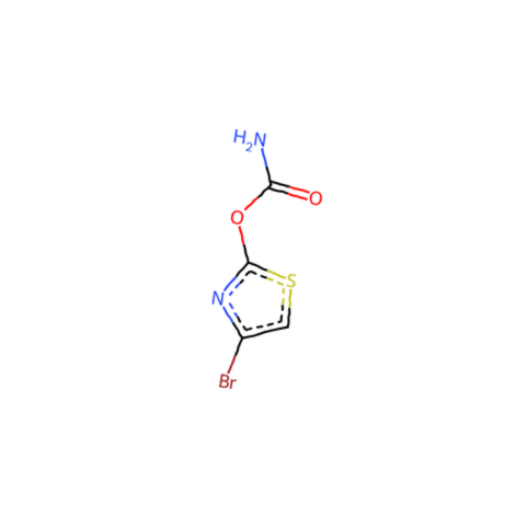 NC(=O)Oc1nc(Br)cs1